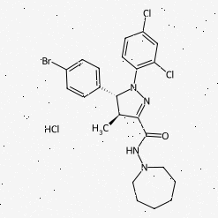 C[C@@H]1C(C(=O)NN2CCCCCC2)=NN(c2ccc(Cl)cc2Cl)[C@H]1c1ccc(Br)cc1.Cl